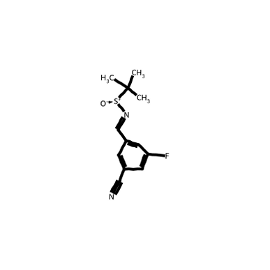 CC(C)(C)[S@@+]([O-])/N=C/c1cc(F)cc(C#N)c1